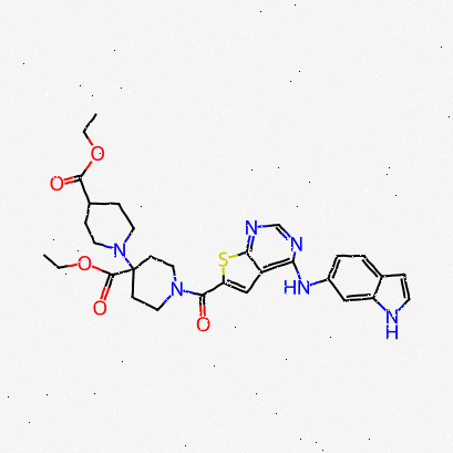 CCOC(=O)C1CCN(C2(C(=O)OCC)CCN(C(=O)c3cc4c(Nc5ccc6cc[nH]c6c5)ncnc4s3)CC2)CC1